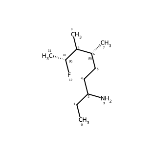 CCC(N)CC[C@@H](C)C(C)[C@@H](C)F